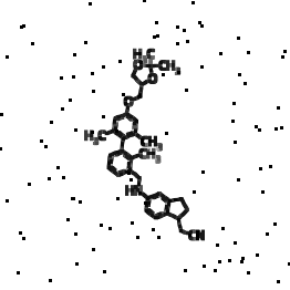 Cc1cc(OC[C@H]2COC(C)(C)O2)cc(C)c1-c1cccc(CNc2ccc3c(c2)CCC3CC#N)c1C